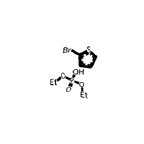 Brc1cccs1.CCOP(=O)(O)OCC